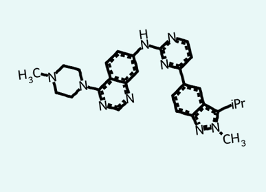 CC(C)c1c2cc(-c3ccnc(Nc4ccc5c(N6CCN(C)CC6)ncnc5c4)n3)ccc2nn1C